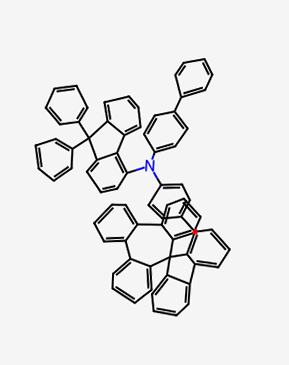 c1ccc(-c2ccc(N(c3ccc(-c4cccc5c4C4(c6ccccc6-c6ccccc6-c6ccccc64)c4ccccc4-5)cc3)c3cccc4c3-c3ccccc3C4(c3ccccc3)c3ccccc3)cc2)cc1